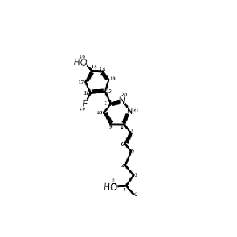 CC(O)CCC/C=C/c1ccc(-c2ccc(O)cc2F)nn1